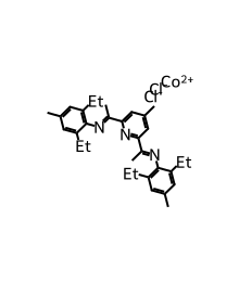 CCc1cc(C)cc(CC)c1N=C(C)c1cc(C)cc(C(C)=Nc2c(CC)cc(C)cc2CC)n1.[Cl-].[Cl-].[Co+2]